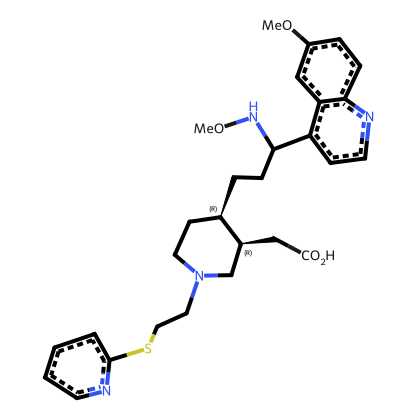 CONC(CC[C@@H]1CCN(CCSc2ccccn2)C[C@@H]1CC(=O)O)c1ccnc2ccc(OC)cc12